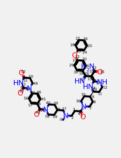 CN(CCC(=O)N1CCC([C@@H]2CCN/C(=C(/C(=N)c3ccc(Oc4ccccc4)cc3)C(N)=O)N2)CC1)CC1CCN(C(=O)c2ccc(N3CCC(=O)NC3=O)cc2)CC1